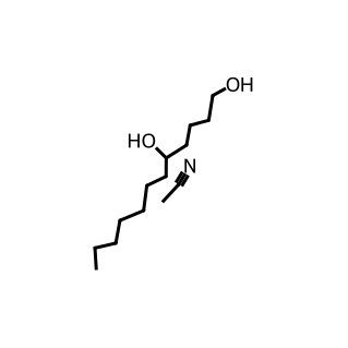 CC#N.CCCCCCCC(O)CCCCO